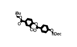 CCCCCCCCCCOc1ccc(C(=O)Oc2ccc(C(=O)OC[C@@H](C)CC)cc2Cl)cc1